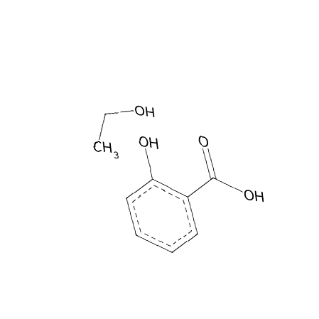 CCO.O=C(O)c1ccccc1O